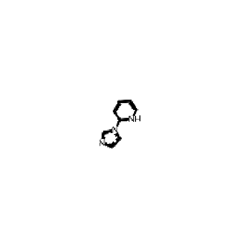 C1=CN[C](n2ccnc2)C=C1